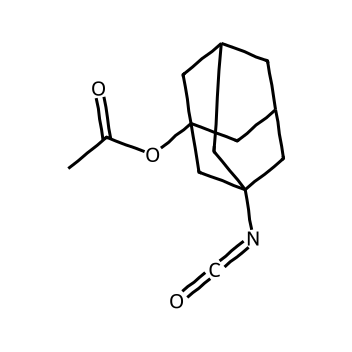 CC(=O)OC12CC3CC(CC(N=C=O)(C3)C1)C2